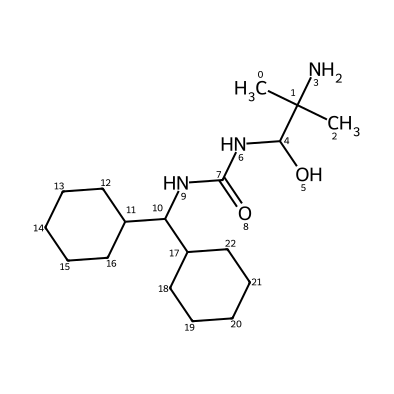 CC(C)(N)C(O)NC(=O)NC(C1CCCCC1)C1CCCCC1